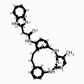 Cc1cnc2nc1Nc1ccc(NC(=O)Cc3nc4ccccc4[nH]3)c(c1)CCc1cccc(c1)N2